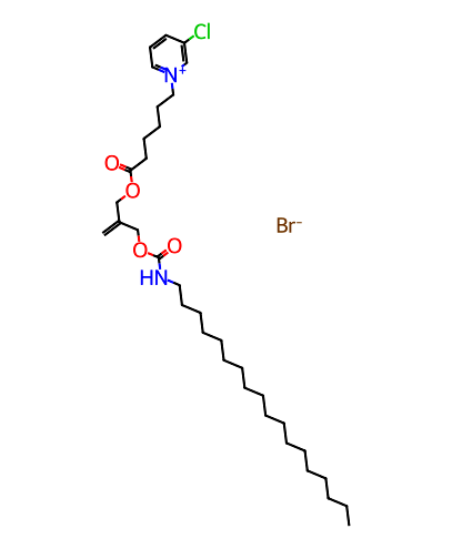 C=C(COC(=O)CCCCC[n+]1cccc(Cl)c1)COC(=O)NCCCCCCCCCCCCCCCCCC.[Br-]